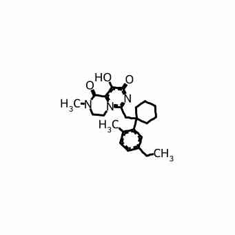 CCc1ccc(C)c(C2(Cc3nc(=O)c(O)c4n3CCN(C)C4=O)CCCCC2)c1